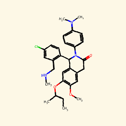 CCC(C)Oc1cc2c(cc1OC)CC(=O)N(c1ccc(N(C)C)cc1)C2c1ccc(Cl)cc1CNC